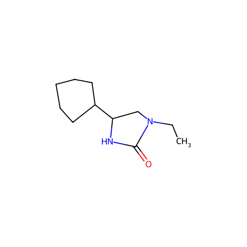 CCN1CC(C2CCCCC2)NC1=O